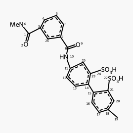 CNC(=O)c1cccc(C(=O)Nc2ccc(-c3ccc(C)cc3S(=O)(=O)O)c(S(=O)(=O)O)c2)c1